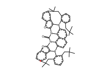 CC(C)(C)Cc1cccc(CC(C)(C)C)c1B1c2ccc3ccc4c5c3c2N(C(=O)N5c2oc3ccc5cc3c2B4c2c(CC(C)(C)C)cccc2CC5(C)C)c2oc3ccccc3c21